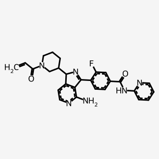 C=CC(=O)N1CCCC(C2N=C(c3ccc(C(=O)Nc4ccccn4)cc3F)c3c2ccnc3N)C1